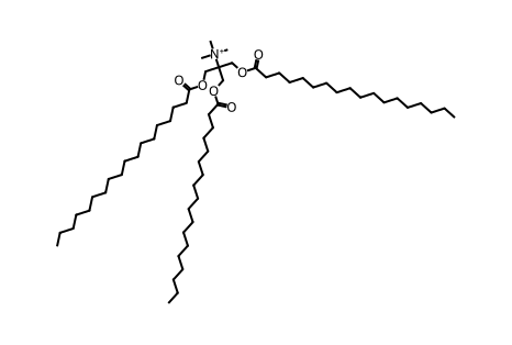 CCCCCCCCCCCCCCCCCC(=O)OCC(COC(=O)CCCCCCCCCCCCCCCCC)(COC(=O)CCCCCCCCCCCCCCCCC)[N+](C)(C)C